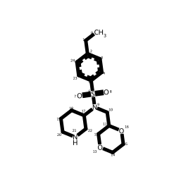 CCc1ccc(S(=O)(=O)N(CC2COCCO2)C2CCCNC2)cc1